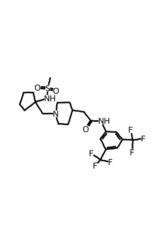 CS(=O)(=O)NC1(CN2CCC(CC(=O)Nc3cc(C(F)(F)F)cc(C(F)(F)F)c3)CC2)CCCC1